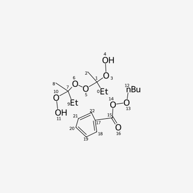 CCC(C)(OO)OOC(C)(CC)OO.CCCCOOC(=O)c1ccccc1